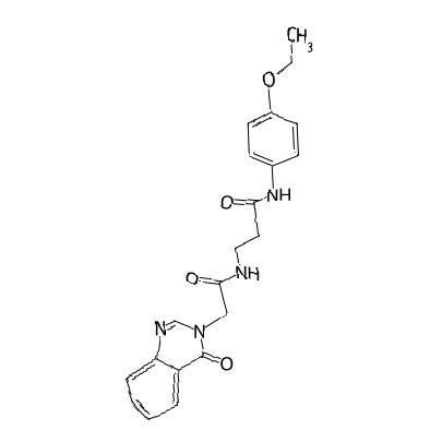 CCOc1ccc(NC(=O)CCNC(=O)Cn2cnc3ccccc3c2=O)cc1